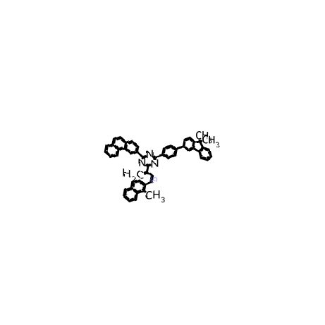 C=C(/C=C\c1ccc2ccccc2c1C)c1nc(-c2ccc(-c3ccc4c(c3)-c3ccccc3C4(C)C)cc2)nc(-c2ccc3ccc4ccccc4c3c2)n1